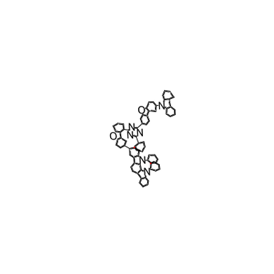 c1ccc(-c2nc(-c3ccc4c(c3)oc3ccc(-n5c6ccccc6c6ccccc65)cc34)nc(-c3cccc4oc5ccc(-c6ccc7c(c6)c6ccc8c9ccccc9n(-c9ccccc9)c8c6n7-c6ccccc6)cc5c34)n2)cc1